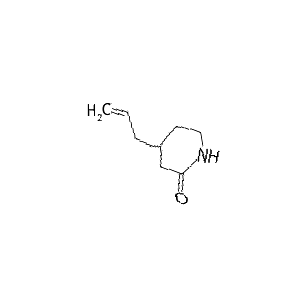 C=CCC1CCNC(=O)C1